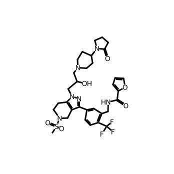 CS(=O)(=O)N1CCc2c(c(-c3ccc(C(F)(F)F)c(CNC(=O)c4ccco4)c3)nn2CC(O)CN2CCC(N3CCCC3=O)CC2)C1